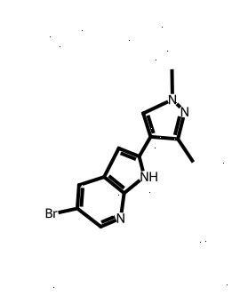 Cc1nn(C)cc1-c1cc2cc(Br)cnc2[nH]1